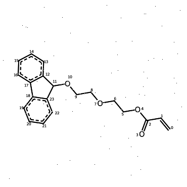 C=CC(=O)OCCOCCOC1c2ccccc2-c2ccccc21